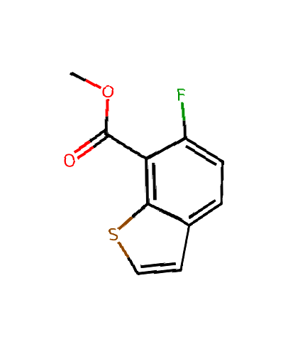 COC(=O)c1c(F)ccc2ccsc12